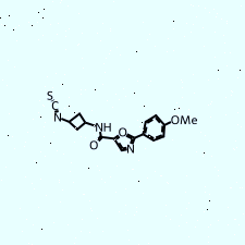 COc1ccc(-c2ncc(C(=O)NC3CC(N=C=S)C3)o2)cc1